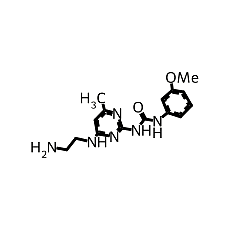 COc1cccc(NC(=O)Nc2nc(C)cc(NCCN)n2)c1